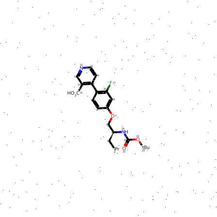 CC(C)C[C@@H](COc1ccc(-c2ccncc2C(=O)O)c(F)c1)NC(=O)OC(C)(C)C